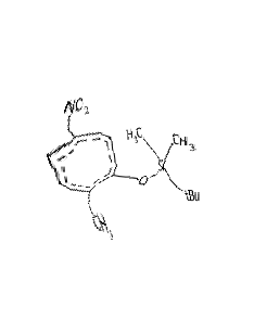 Cc1ccc([N+](=O)[O-])cc1O[Si](C)(C)C(C)(C)C